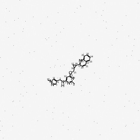 Cc1nc(NCc2cnn(C)c2)cc(OCC2CC2c2ccc3ccccc3n2)n1